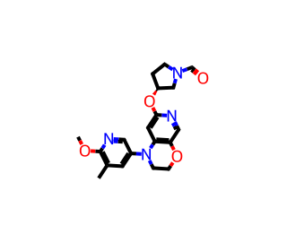 COc1ncc(N2CCOc3cnc(O[C@H]4CCN(C=O)C4)cc32)cc1C